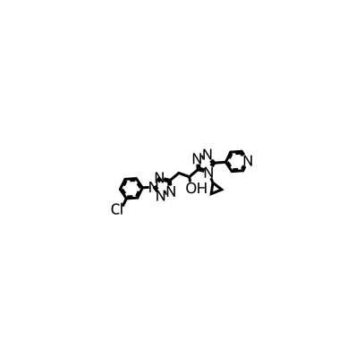 OC(Cc1nnn(-c2cccc(Cl)c2)n1)c1nnc(-c2ccncc2)n1C1CC1